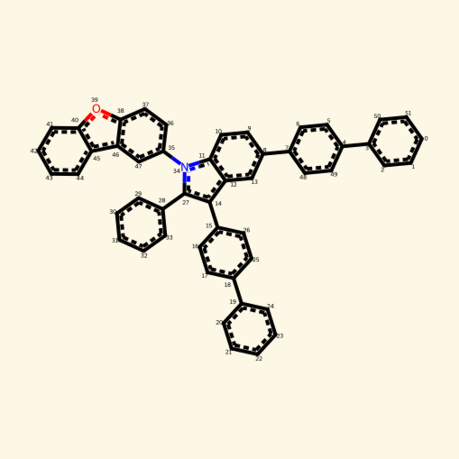 c1ccc(-c2ccc(-c3ccc4c(c3)c(-c3ccc(-c5ccccc5)cc3)c(-c3ccccc3)n4-c3ccc4oc5ccccc5c4c3)cc2)cc1